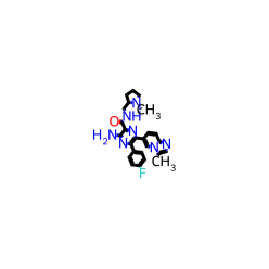 Cc1cnc2ccc(-c3nc(C(=O)NCC4CCCN4C)c(N)nc3-c3ccc(F)cc3)cn12